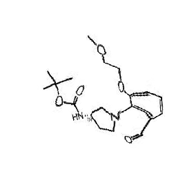 COCCOc1cccc(C=O)c1N1CC[C@H](NC(=O)OC(C)(C)C)C1